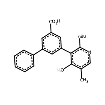 CCCCc1ncc(C)c(O)c1-c1cc(C(=O)O)cc(-c2ccccc2)c1